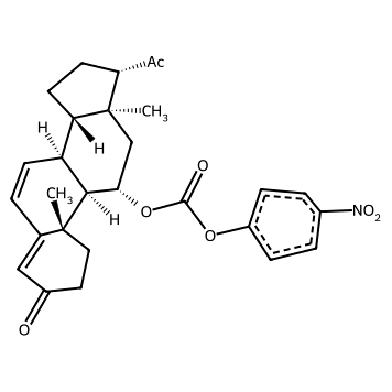 CC(=O)[C@H]1CC[C@H]2[C@@H]3C=CC4=CC(=O)CC[C@@]4(C)[C@@H]3[C@@H](OC(=O)Oc3ccc([N+](=O)[O-])cc3)C[C@]12C